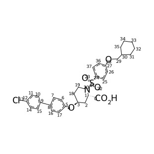 O=C(O)[C@@H]1C[C@@H](Oc2ccc(-c3ccc(Cl)cc3)cc2)CCN1S(=O)(=O)c1ccc(OCC2CCCCC2)cc1